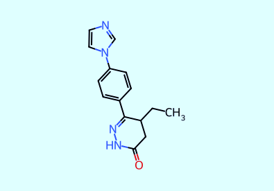 CCC1CC(=O)NN=C1c1ccc(-n2ccnc2)cc1